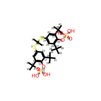 CC(C)(Sc1cc(C(C)(C)C)c(OP(=O)(O)O)c(C(C)(C)C)c1)Sc1cc(C(C)(C)C)c(OP(=O)(O)O)c(C(C)(C)C)c1